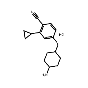 Cl.N#Cc1ccc(OC2CCC(N)CC2)cc1C1CC1